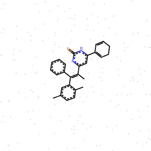 C/C(=C(/c1ccccc1)c1cc(C)ccc1C)c1cc(C2=CCCC=C2)[nH]c(=S)n1